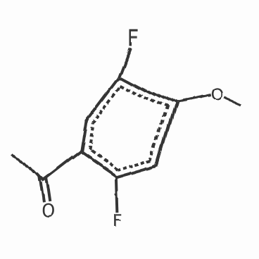 COc1cc(F)c(C(C)=O)cc1F